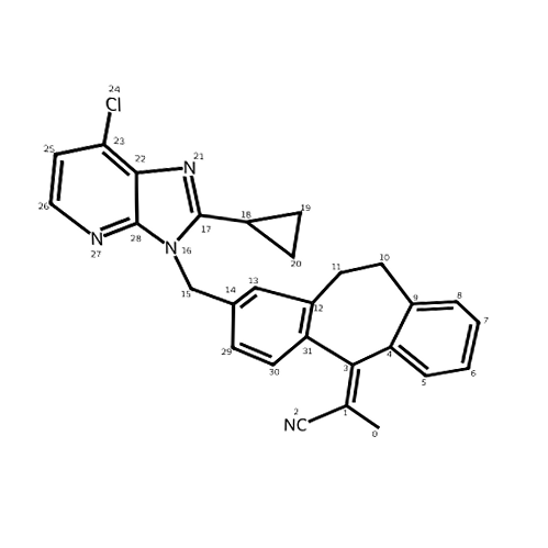 CC(C#N)=C1c2ccccc2CCc2cc(Cn3c(C4CC4)nc4c(Cl)ccnc43)ccc21